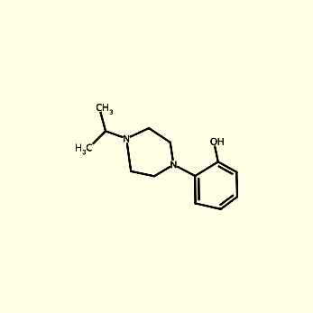 CC(C)N1CCN(c2ccccc2O)CC1